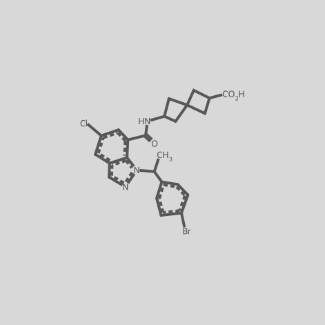 CC(c1ccc(Br)cc1)n1ncc2cc(Cl)cc(C(=O)NC3CC4(C3)CC(C(=O)O)C4)c21